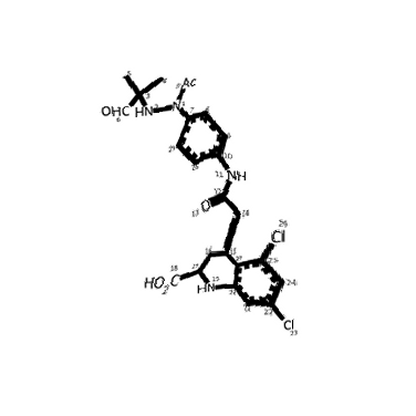 CC(=O)N(NC(C)(C)C=O)c1ccc(NC(=O)C=C2CC(C(=O)O)Nc3cc(Cl)cc(Cl)c32)cc1